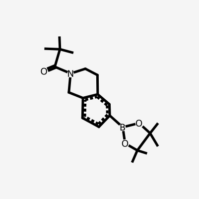 CC(C)(C)C(=O)N1CCc2cc(B3OC(C)(C)C(C)(C)O3)ccc2C1